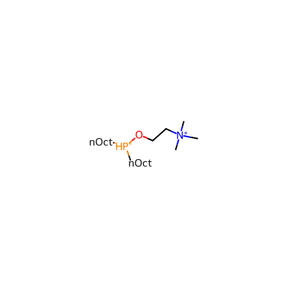 CCCCCCCC[PH-](CCCCCCCC)OCC[N+](C)(C)C